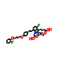 Cc1c(CCCC(=O)O)c2c(F)ccc(C=Cc3ccc(OC/C=C/COc4ccccc4F)cc3)c2n1CC(=O)O